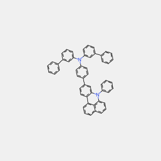 c1ccc(-c2cccc(N(c3ccc(-c4ccc5c(c4)N(c4ccccc4)c4cccc6cccc-5c46)cc3)c3cccc(-c4ccccc4)c3)c2)cc1